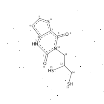 O=c1[nH]c2ccsc2c(=O)n1CC(S)CS